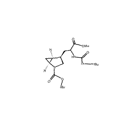 COC(=O)C(C[C@H]1CN(C(=O)OC(C)(C)C)[C@H]2C[C@@H]12)NC(=O)OC(C)(C)C